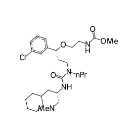 CCCN(CC[C@@H](OCCNC(=O)OC)c1cccc(Cl)c1)C(=O)N[C@H](CNC)CC1CCCCC1